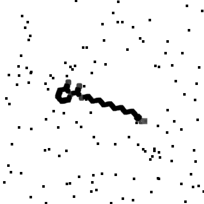 C#CCCCCCCCCCOC(=O)n1ccccc1=O